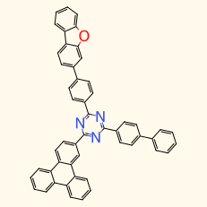 c1ccc(-c2ccc(-c3nc(-c4ccc(-c5ccc6c(c5)oc5ccccc56)cc4)nc(-c4ccc5c6ccccc6c6ccccc6c5c4)n3)cc2)cc1